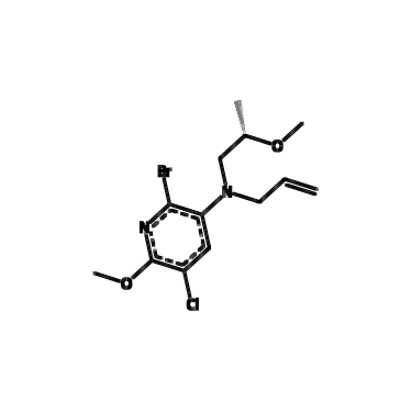 C=CCN(C[C@H](C)OC)c1cc(Cl)c(OC)nc1Br